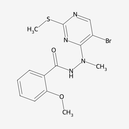 COc1ccccc1C(=O)NN(C)c1nc(SC)ncc1Br